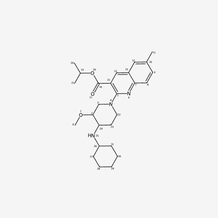 COC1CN(c2nc3ccc(C)cc3cc2C(=O)OC(C)C)CCC1NC1CCCCC1